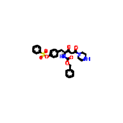 O=C(N[C@@H](Cc1ccc(OS(=O)(=O)c2ccccc2)cc1)C(=O)CC(=O)N1CCNCC1)OCc1ccccc1